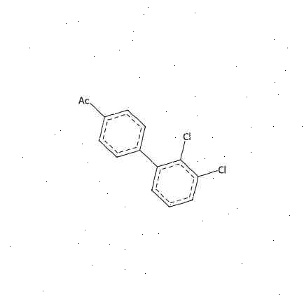 CC(=O)c1ccc(-c2cccc(Cl)c2Cl)cc1